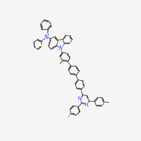 Cc1ccc(-c2cc(-c3ccc(-c4ccc(-c5ccc(-n6c7ccccc7c7cc(N(c8ccccc8)c8ccccc8)ccc76)cc5C)cc4)cc3)nc(-c3ccc(C)cc3)n2)cc1